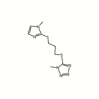 Cn1ccnc1SCCCSc1nnnn1C